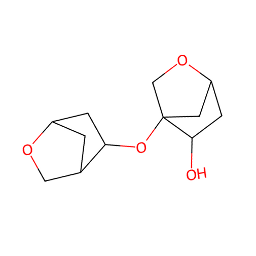 OC1CC2CC1(OC1CC3CC1CO3)CO2